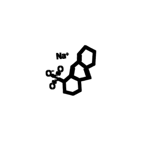 O=S(=O)([O-])C1CCCC2C=C3CCCC=C3C=C21.[Na+]